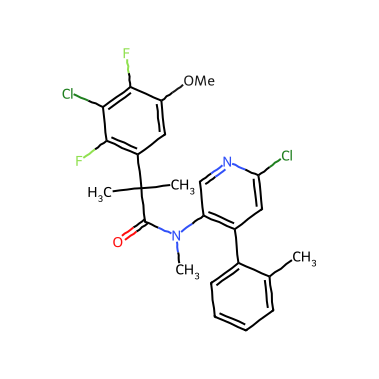 COc1cc(C(C)(C)C(=O)N(C)c2cnc(Cl)cc2-c2ccccc2C)c(F)c(Cl)c1F